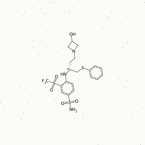 NS(=O)(=O)c1ccc(N[C@H](CCN2CC(O)C2)CSc2ccccc2)c(S(=O)(=O)C(F)(F)F)c1